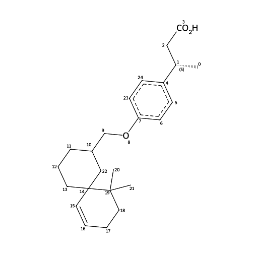 C[C@@H](CC(=O)O)c1ccc(OCC2CCCC3(C=CCCC3(C)C)C2)cc1